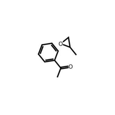 CC(=O)c1ccccc1.CC1CO1